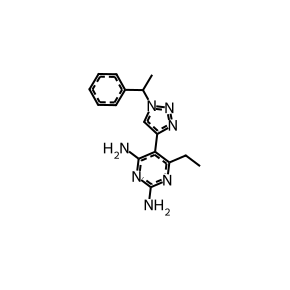 CCc1nc(N)nc(N)c1-c1cn(C(C)c2ccccc2)nn1